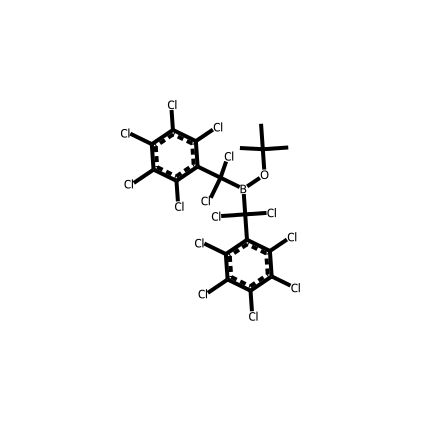 CC(C)(C)OB(C(Cl)(Cl)c1c(Cl)c(Cl)c(Cl)c(Cl)c1Cl)C(Cl)(Cl)c1c(Cl)c(Cl)c(Cl)c(Cl)c1Cl